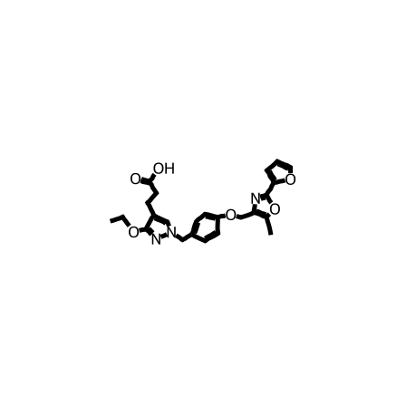 CCOc1nn(Cc2ccc(OCc3nc(-c4ccco4)oc3C)cc2)cc1CCC(=O)O